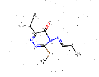 CCC=Nn1c(SC)nnc(C(C)C)c1=O